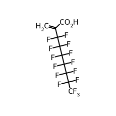 C=C(C(=O)O)C(F)(F)C(F)(F)C(F)(F)C(F)(F)C(F)(F)C(F)(F)C(F)(F)F